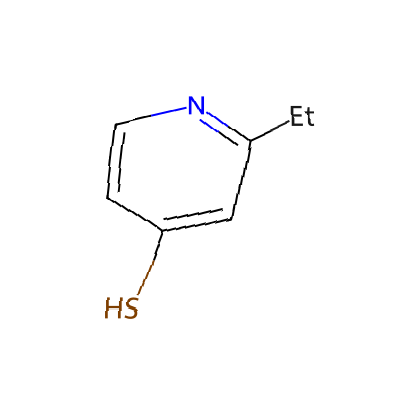 CCc1cc(S)ccn1